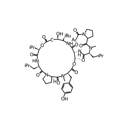 CC[C@H](C)C1NC(=O)[C@H](NC(=O)[C@H](CC(C)C)N(C)C(=O)C2CCCN2C(=O)C(C)=O)[C@H](C)OC(=O)[C@@H](Cc2ccc(O)cc2)N(C)C(=O)[C@H]2CCCN2C(=O)[C@@H](CC(C)C)NC(=O)[C@@H](C(C)C)OC(=O)C[C@H]1O